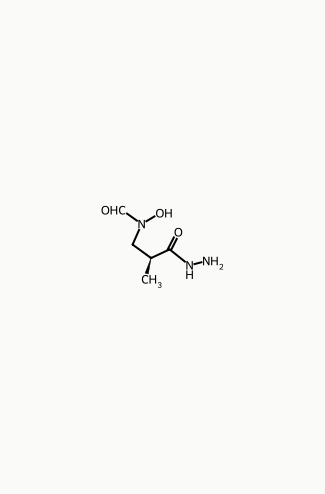 C[C@@H](CN(O)C=O)C(=O)NN